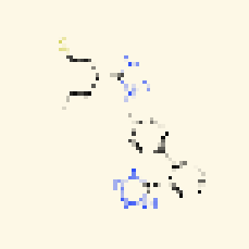 CCC=CC(CC=S)c1ncnn1Cc1ccc(-c2ccccc2-c2nnn[nH]2)cc1